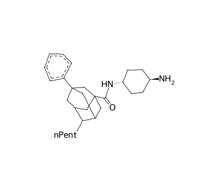 CCCCCC1C2CC3(C(=O)N[C@H]4CC[C@H](N)CC4)CC1CC(c1ccccc1)(C2)C3